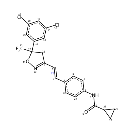 O=C(Nc1ccc(/C=C/C2=NOC(c3cc(Cl)cc(Cl)c3)(C(F)(F)F)C2)cc1)C1CC1